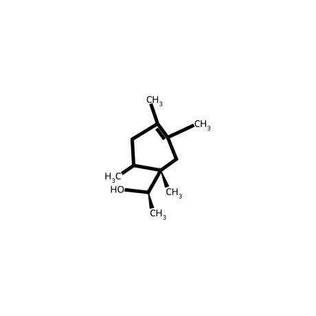 CC1=C(C)C[C@](C)([C@@H](C)O)C(C)C1